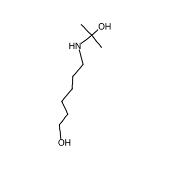 CC(C)(O)NCCCCCCO